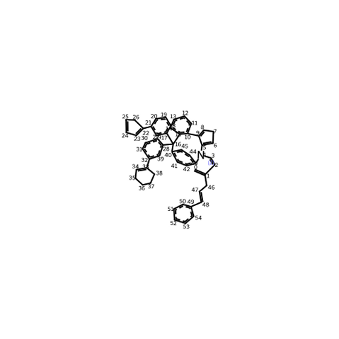 C=C(/C=C\N1C2=CCC=C2c2ccccc2C(c2cccc(C3=CC=CC3)c2)(c2cccc(C3=CCCCC3)c2)c2ccc1cc2)CC=Cc1ccccc1